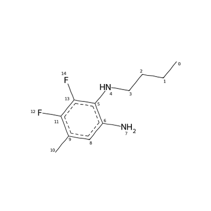 CCCCNc1c(N)cc(C)c(F)c1F